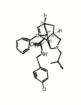 CC(C)CN1C[C@@H]2C[C@H]3C=N[C@]2(C(=O)NCc2ccc(Cl)cc2)C1[C@@H]3Cc1ccccc1